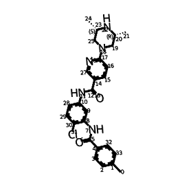 Cc1ccc(C(=O)Nc2cc(NC(=O)c3ccc(N4C[C@@H](C)N[C@@H](C)C4)nc3)ccc2Cl)cc1